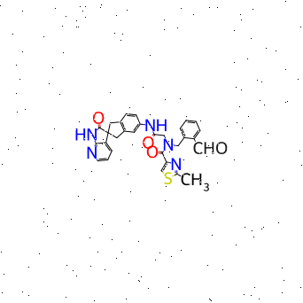 Cc1nc(C(=O)N(CC(=O)Nc2ccc3c(c2)CC2(C3)C(=O)Nc3ncccc32)Cc2ccccc2C=O)cs1